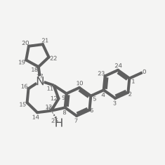 Cc1ccc(-c2ccc3c(c2)C2C[C@@H]3CCCN2C2CCCC2)cc1